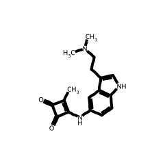 Cc1c(Nc2ccc3[nH]cc(CCN(C)C)c3c2)c(=O)c1=O